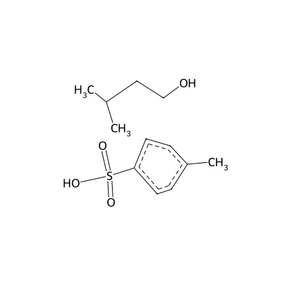 CC(C)CCO.Cc1ccc(S(=O)(=O)O)cc1